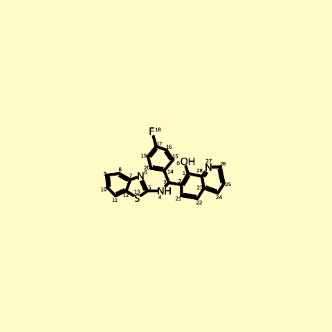 Oc1c(C(Nc2nc3ccccc3s2)c2ccc(F)cc2)ccc2cccnc12